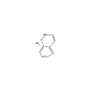 C1=Cc2ccccc2ON1.P